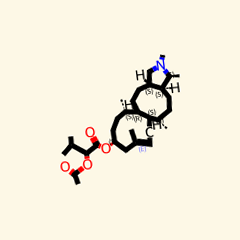 CC(=O)OC(C(=O)O[C@H]1CC[C@H](C)[C@H]2CC[C@@H]3CN(C)[C@@H](C)[C@H]3CC[C@H](C)[C@@H]2C/C=C(\C)C1)C(C)C